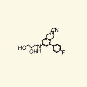 N#CN1Cc2cc(NC[C@H](O)CO)cc(-c3ccc(F)cc3)c2C1